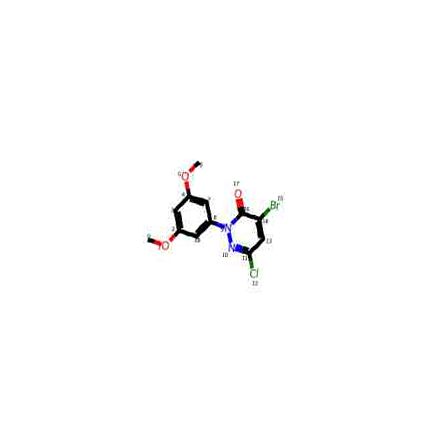 COc1cc(OC)cc(-n2nc(Cl)cc(Br)c2=O)c1